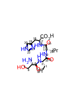 CC(C)C[C@H](NC(=O)[C@@H](N)CO)C(=O)N[C@H](C(=O)N[C@@H](Cc1c[nH]cn1)C(=O)O)C(C)C